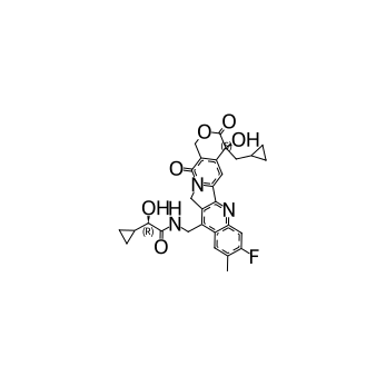 Cc1cc2c(CNC(=O)[C@H](O)C3CC3)c3c(nc2cc1F)-c1cc2c(c(=O)n1C3)COC(=O)[C@]2(O)CC1CC1